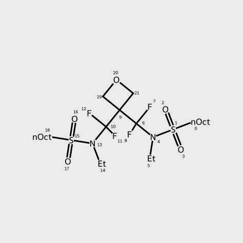 CCCCCCCCS(=O)(=O)N(CC)C(F)(F)C1(C(F)(F)N(CC)S(=O)(=O)CCCCCCCC)COC1